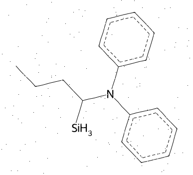 CCCC([SiH3])N(c1ccccc1)c1ccccc1